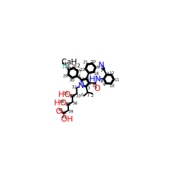 CC(C)c1c(C(=O)Nc2ccccc2C#N)c(-c2ccccc2)c(-c2ccc(F)cc2)n1CC[C@@H](O)C[C@@H](O)CC(=O)O.[CaH2]